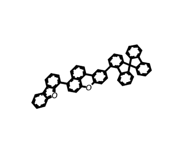 c1ccc2c(c1)-c1ccccc1C21c2ccccc2-c2c(-c3ccc4c(c3)-c3cccc5c(-c6cccc7c6oc6ccccc67)ccc(c35)O4)cccc21